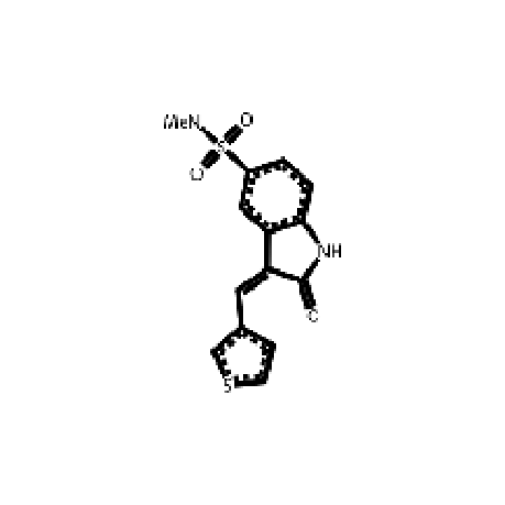 CNS(=O)(=O)c1ccc2c(c1)C(=Cc1ccsc1)C(=O)N2